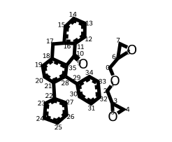 C(OCC1CO1)C1CO1.O=C1c2ccccc2Cc2ccc(-c3ccccc3)c(-c3ccccc3)c21